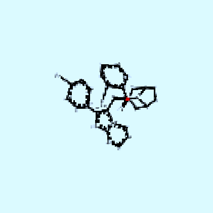 O=C(c1ccccc1F)N1C2CCC1CN(Cc1c(-c3ccc(Br)cc3)nc3ncccn13)C2